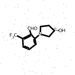 O=Cc1c(N2CC[C@H](O)C2)cccc1C(F)(F)F